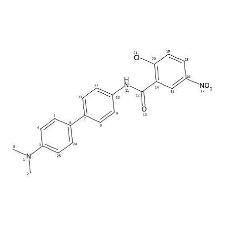 CN(C)c1ccc(-c2ccc(NC(=O)c3cc([N+](=O)[O-])ccc3Cl)cc2)cc1